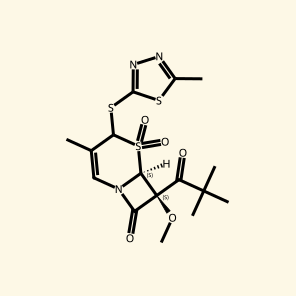 CO[C@@]1(C(=O)C(C)(C)C)C(=O)N2C=C(C)C(Sc3nnc(C)s3)S(=O)(=O)[C@H]21